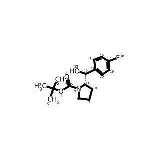 CC(C)(C)OC(=O)N1CCC[C@H]1C(O)c1ccc(F)cc1